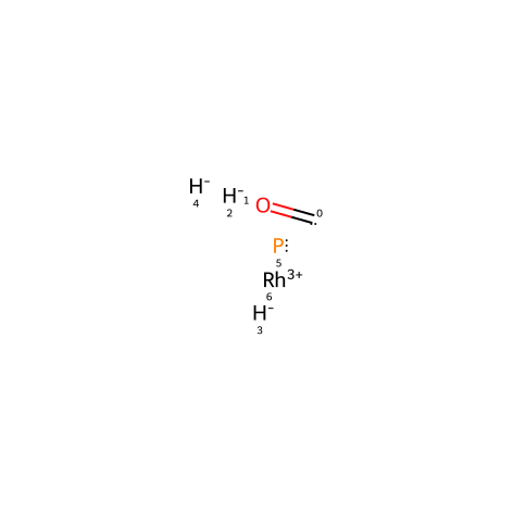 [C]=O.[H-].[H-].[H-].[P].[Rh+3]